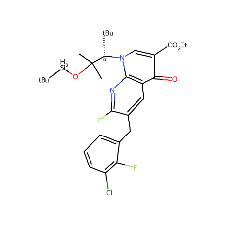 CCOC(=O)c1cn([C@@H](C(C)(C)C)C(C)(C)O[SiH2]C(C)(C)C)c2nc(F)c(Cc3cccc(Cl)c3F)cc2c1=O